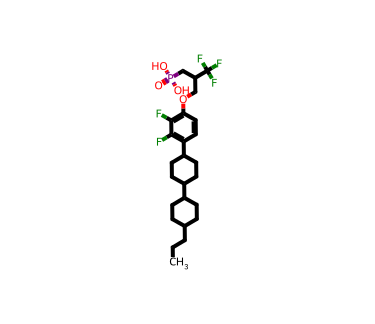 CCCC1CCC(C2CCC(c3ccc(OCC(CP(=O)(O)O)C(F)(F)F)c(F)c3F)CC2)CC1